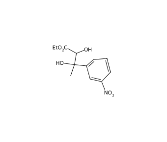 CCOC(=O)C(O)C(C)(O)c1cccc([N+](=O)[O-])c1